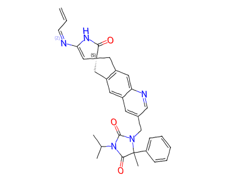 C=C/C=N\C1=C[C@@]2(Cc3cc4cc(CN5C(=O)N(C(C)C)C(=O)C5(C)c5ccccc5)cnc4cc3C2)C(=O)N1